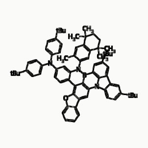 Cc1cc2c(cc1N1B3c4c(cc5c(oc6ccccc65)c4-c4ccc(N(c5ccc(C(C)(C)C)cc5)c5ccc(C(C)(C)C)cc5)cc41)-n1c4ccc(C(C)(C)C)cc4c4cc(C(C)(C)C)cc3c41)C(C)(C)CCC2(C)C